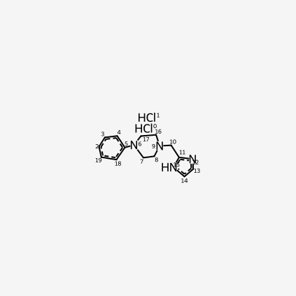 Cl.Cl.c1ccc(N2CCN(Cc3ncc[nH]3)CC2)cc1